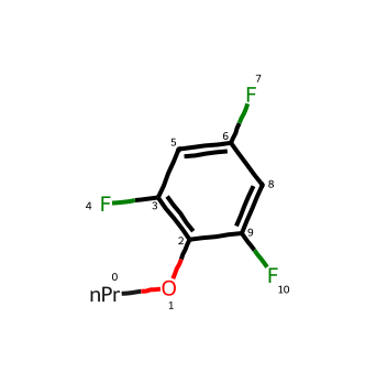 CCCOc1c(F)cc(F)cc1F